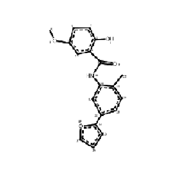 COc1ccc(O)c(C(=O)Nc2cc(-c3ccco3)ccc2C)c1